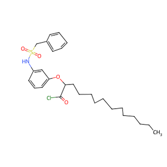 CCCCCCCCCCCCC(Oc1cccc(NS(=O)(=O)Cc2ccccc2)c1)C(=O)Cl